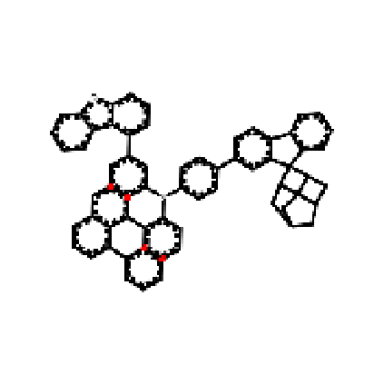 c1ccc(-c2cccc3cccc(-c4ccccc4N(c4ccc(-c5ccc6c(c5)C5(c7ccccc7-6)C6CC7CC8CC5C86C7)cc4)c4cccc(-c5cccc6oc7ccccc7c56)c4)c23)cc1